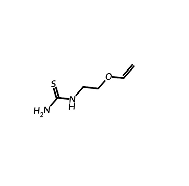 C=COCCNC(N)=S